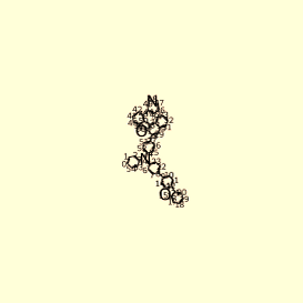 c1ccc(N(c2ccc(-c3ccc4c(c3)oc3ccccc34)cc2)c2ccc(-c3cc4ccccc4c4c3oc3cccc(-c5cccnc5)c34)cc2)cc1